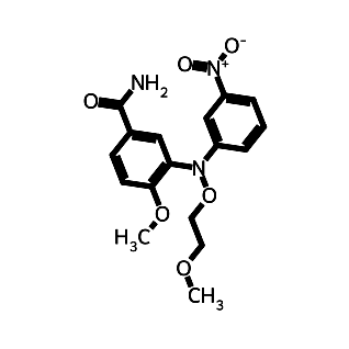 COCCON(c1cccc([N+](=O)[O-])c1)c1cc(C(N)=O)ccc1OC